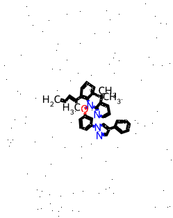 C=C/C=C(\C)c1cccc2c1N(Oc1cccc(-n3cc(-c4ccccc4)cn3)c1)c1ncccc1C2(C)C